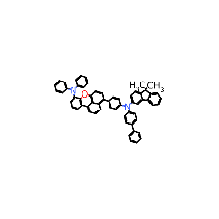 CC1(C)c2ccccc2-c2cc(N(c3ccc(-c4ccccc4)cc3)c3ccc(-c4ccc5c6c(cccc46)-c4cccc(N(c6ccccc6)c6ccccc6)c4O5)cc3)ccc21